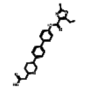 Cc1nc(C(=O)Nc2ccc(-c3ccc(C4CCC(CC(=O)O)OC4)cc3)cc2)c(CF)o1